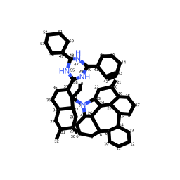 CCC1(N2C3CCCC4C5CCCCC5C5CCCC6C(C)CC2C(C65)C43)C2CC(C)C(C)CC2CCC1C1NC(C2C#CCCC2)NC(C2CCCCC2)N1